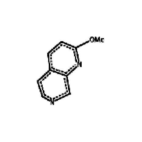 COc1ccc2ccncc2n1